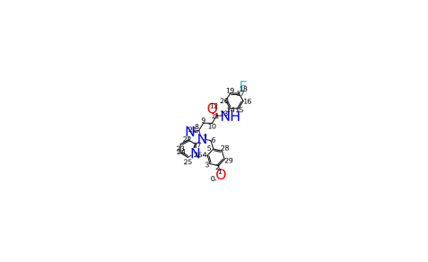 COc1ccc(Cn2c(CCC(=O)Nc3ccc(F)cc3)nc3cccnc32)cc1